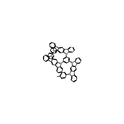 Cc1ccc(-n2c3ccccc3c3cc4c5ccccc5n(-c5cc(-n6c7ccccc7c7cc8c9ccccc9n(-c9ccc(C)cc9)c8cc76)cc(-n6c7ccccc7c7cc8c9ccccc9n(-c9ccc(C)cc9)c8cc76)c5)c4cc32)cc1